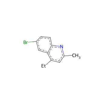 CCc1cc(C)nc2ccc(Br)cc12